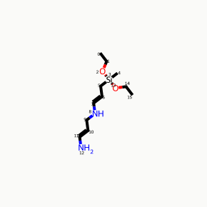 CCO[Si](C)(CC=CNCC=CN)OCC